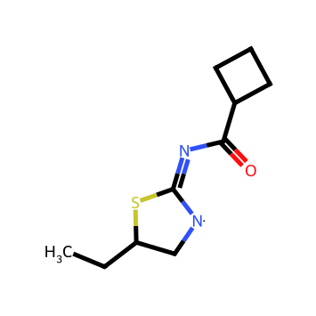 CCC1C[N]C(=NC(=O)C2CCC2)S1